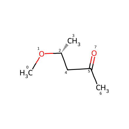 CO[C@H](C)CC(C)=O